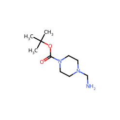 CC(C)(C)OC(=O)N1CCN(CN)CC1